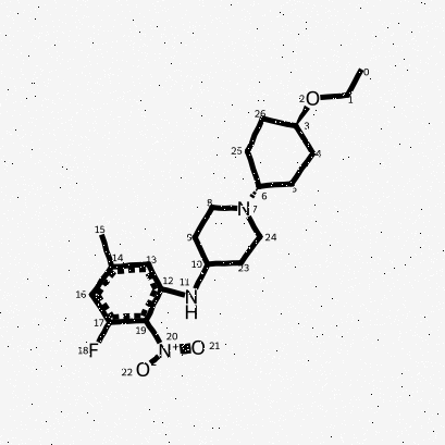 CCO[C@H]1CC[C@H](N2CCC(Nc3cc(C)cc(F)c3[N+](=O)[O-])CC2)CC1